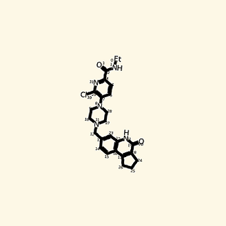 CCNC(=O)c1ccc(N2CCN(Cc3ccc4c5c(c(=O)[nH]c4c3)CCC5)CC2)c(Cl)n1